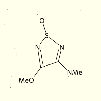 CNc1n[s+]([O-])nc1OC